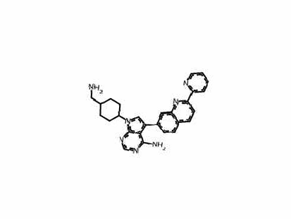 NCC1CCC(n2cc(-c3ccc4ccc(-c5ccccn5)nc4c3)c3c(N)ncnc32)CC1